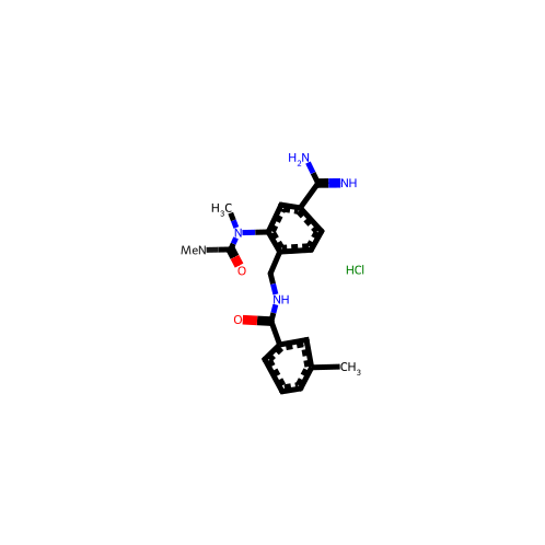 CNC(=O)N(C)c1cc(C(=N)N)ccc1CNC(=O)c1cccc(C)c1.Cl